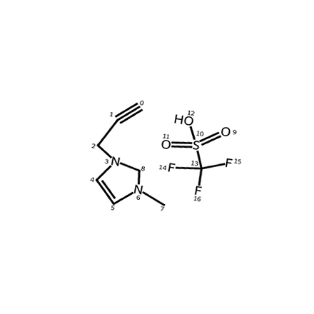 C#CCN1C=CN(C)C1.O=S(=O)(O)C(F)(F)F